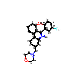 C[n+]1c2c3c(cccc3c3ccc(CN4CCOCC4)cc31)Oc1ccc(F)cc1-2